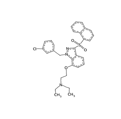 CCN(CC)CCOc1cccc2c(S(=O)(=O)c3cccc4ccccc34)nn(Cc3cccc(Cl)c3)c12